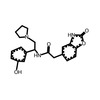 O=C(Cc1ccc2oc(=O)[nH]c2c1)NC(CN1CCCC1)c1cccc(O)c1